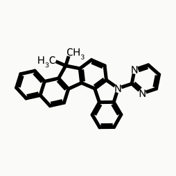 CC1(C)c2ccc3c(c2-c2ccc4ccccc4c21)c1ccccc1n3-c1ncccn1